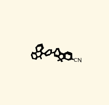 Cc1c(-c2ccc(-c3ccc4c(c3)C(C)(C)c3cc(C#N)ccc3-4)cc2)c2ccccc2c2ccccc12